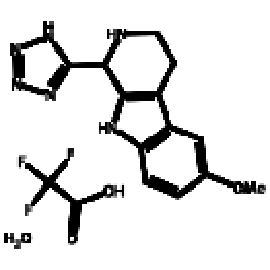 COc1ccc2[nH]c3c(c2c1)CCNC3c1nnn[nH]1.O.O=C(O)C(F)(F)F